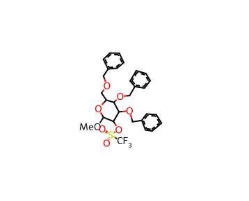 COC1OC(COCc2ccccc2)C(OCc2ccccc2)C(OCc2ccccc2)C1OS(=O)(=O)C(F)(F)F